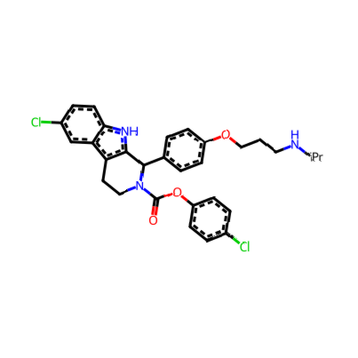 CC(C)NCCCOc1ccc(C2c3[nH]c4ccc(Cl)cc4c3CCN2C(=O)Oc2ccc(Cl)cc2)cc1